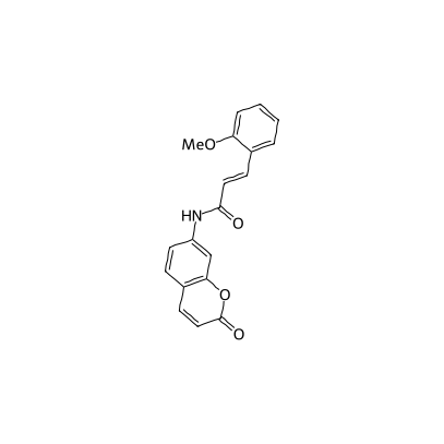 COc1ccccc1/C=C/C(=O)Nc1ccc2ccc(=O)oc2c1